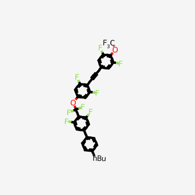 CCCCc1ccc(-c2cc(F)c(C(F)(F)Oc3cc(F)c(C#Cc4cc(F)c(OC(F)(F)F)c(F)c4)c(F)c3)c(F)c2)cc1